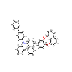 c1ccc(-c2ccc(N(c3ccccc3)c3ccc(-c4ccc5c(c4)Oc4cccc6cccc(c46)O5)c4ccccc34)cc2)cc1